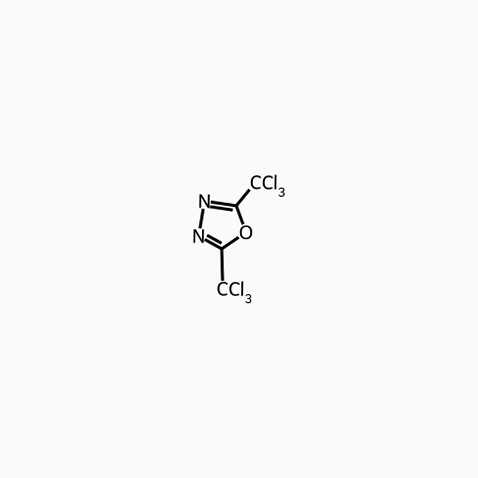 ClC(Cl)(Cl)c1nnc(C(Cl)(Cl)Cl)o1